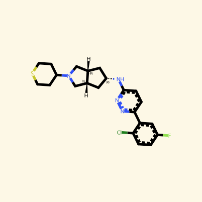 Fc1ccc(Cl)c(-c2ccc(N[C@@H]3C[C@@H]4CN(C5CCSCC5)C[C@@H]4C3)nn2)c1